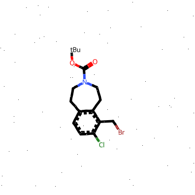 CC(C)(C)OC(=O)N1CCc2ccc(Cl)c(CBr)c2CC1